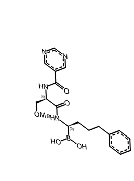 COC[C@@H](NC(=O)c1cncnc1)C(=O)N[C@@H](CCCc1ccccc1)B(O)O